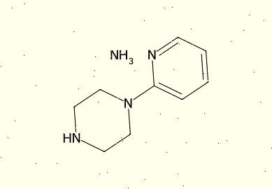 N.c1ccc(N2CCNCC2)nc1